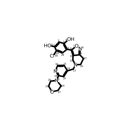 Oc1cc(O)c(-c2onc3c2CN(Cc2ccnc(N4CCOCC4)c2)CC3)cc1Cl